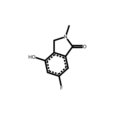 CN1Cc2c(O)cc(F)cc2C1=O